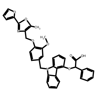 COc1cc(Cn2c3ccccc3c3c(OC(C(=O)O)c4ccccc4)cccc32)ccc1OCc1nc(-c2ccco2)oc1C